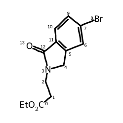 CCOC(=O)CCN1Cc2cc(Br)ccc2C1=O